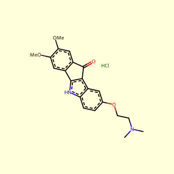 COc1cc2c(cc1OC)-c1[nH]c3ccc(OCCN(C)C)cc3c1C2=O.Cl